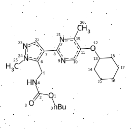 CCCCOC(=O)NCc1c(-c2ncc(OC3CCCCC3)c(C)n2)cnn1C